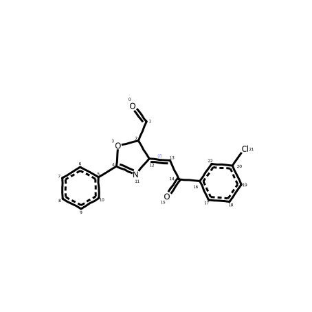 O=CC1OC(c2ccccc2)=N/C1=C\C(=O)c1cccc(Cl)c1